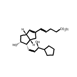 CCOC(=O)CCC=CC1=C[C@H]2C[C@@H](O)[C@@H](/C=C\[C@@H](O)C3CCCC3)[C@H]2C1